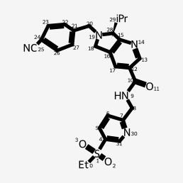 CCS(=O)(=O)c1ccc(CNC(=O)c2cnc3c(c2)CN(Cc2ccc(C#N)cc2)[C@H]3C(C)C)nc1